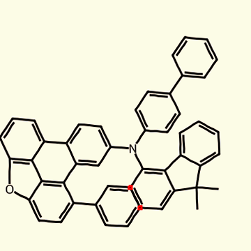 CC1(C)c2ccccc2-c2c(N(c3ccc(-c4ccccc4)cc3)c3ccc4c(c3)c3c(-c5ccccc5)ccc5oc6cccc4c6c53)cccc21